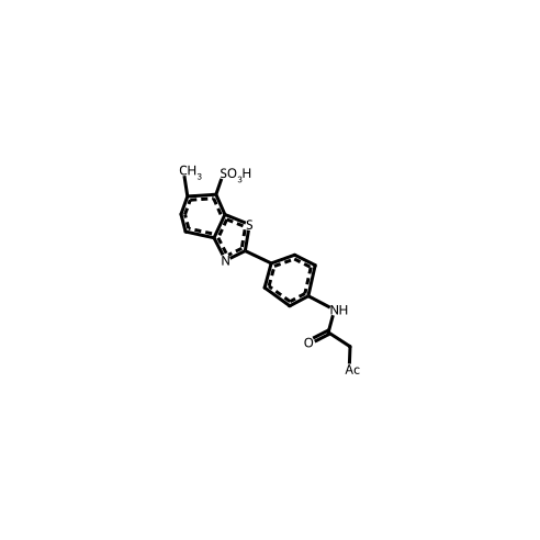 CC(=O)CC(=O)Nc1ccc(-c2nc3ccc(C)c(S(=O)(=O)O)c3s2)cc1